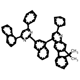 CC1(C)c2ccccc2-c2cc3c(-c4cc(-c5nc(-c6ccccc6)cc(-c6cccc7ccccc67)n5)cc5ccccc45)cc(-c4ccccc4)nc3cc21